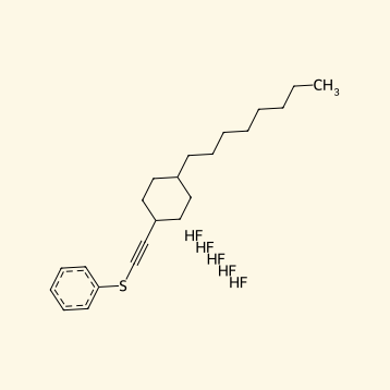 CCCCCCCCC1CCC(C#CSc2ccccc2)CC1.F.F.F.F.F